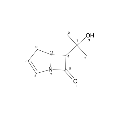 CC(C)(O)C1C(=O)N2C=CCC12